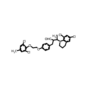 Cc1cc(Cl)c(OCCOc2ccc(CC(C=O)C(N)N3CCCc4cc(Cl)cc(Cl)c43)cc2)c(Cl)c1